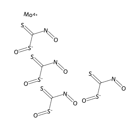 O=NC(=S)[S-]=O.O=NC(=S)[S-]=O.O=NC(=S)[S-]=O.O=NC(=S)[S-]=O.[Mo+4]